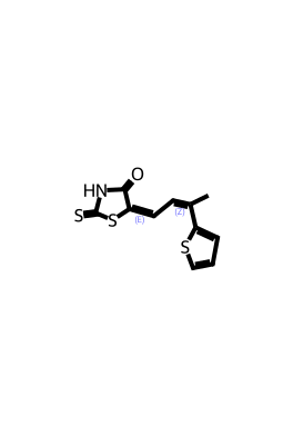 C/C(=C/C=C1/SC(=S)NC1=O)c1cccs1